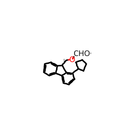 O=[C]O[C]C1c2ccccc2-c2cccc(C3CCCC3)c21